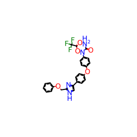 NC(=O)N(OC(=O)C(F)(F)F)c1ccc(Oc2ccc(-c3c[nH]c(COc4ccccc4)n3)cc2)cc1